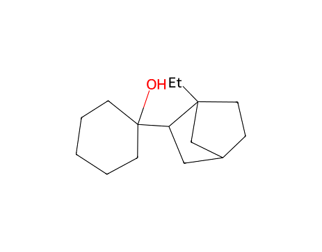 CCC12CCC(CC1C1(O)CCCCC1)C2